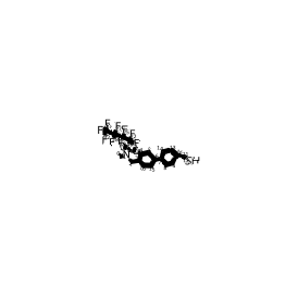 CN(Cc1ccc(-c2ccc(CS)cc2)cc1)S(=O)(=O)C(F)(F)C(F)(F)C(F)(F)C(F)(F)F